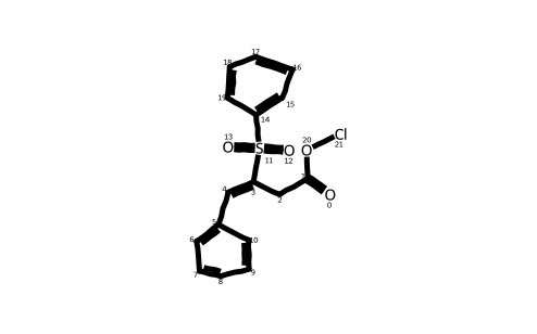 O=C(C/C(=C\c1ccccc1)S(=O)(=O)c1ccccc1)OCl